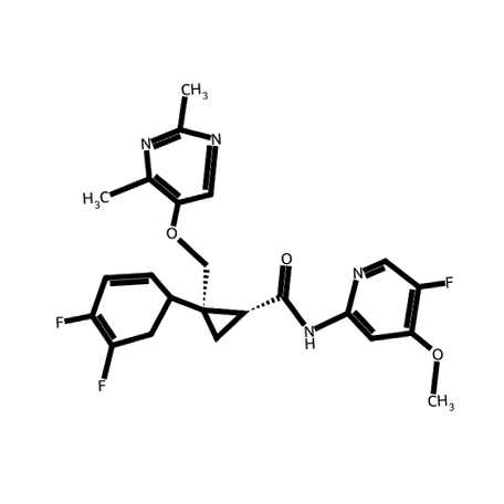 COc1cc(NC(=O)[C@@H]2C[C@@]2(COc2cnc(C)nc2C)C2C=CC(F)=C(F)C2)ncc1F